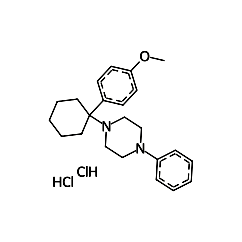 COc1ccc(C2(N3CCN(c4ccccc4)CC3)CCCCC2)cc1.Cl.Cl